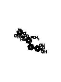 CCn1nc(-c2cccc(-c3ccc(C(=O)O)c(O)c3)c2)cc(NC(=O)Nc2c(Cl)cncc2Cl)c1=O